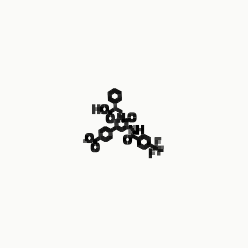 COC(=O)c1ccc(-c2cc(NC(=O)c3ccc(C(F)(F)F)cc3)c(=O)n(CC(C(=O)O)c3ccccc3)c2)cc1